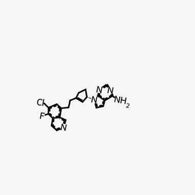 Nc1ncnc2c1ccn2[C@@H]1C=C(CCc2cc(Cl)c(F)c3ccncc23)CC1